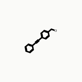 ClCc1ccc(C#Cc2ccccc2)cc1